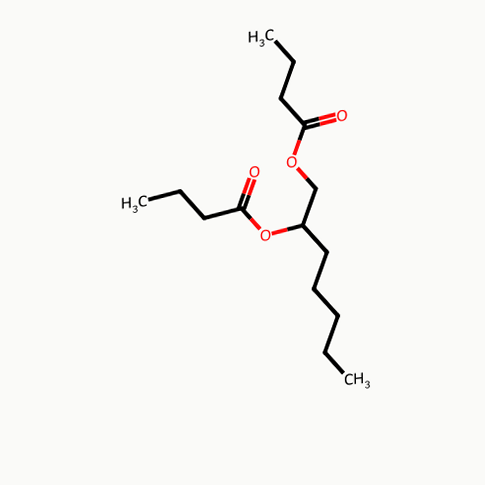 CCCCCC(COC(=O)CCC)OC(=O)CCC